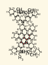 CC1(C)C2=C(C=CCC2)c2ccc(N(c3ccc4c(c3)C(C)(C)c3ccccc3-4)c3ccc4c(-c5ccccc5-c5ccccc5)c5cc(N(c6ccc7c(c6)C(C)(C)c6ccccc6-7)c6ccc7c(c6)C(C)(C)c6ccccc6-7)ccc5c(-c5ccccc5-c5ccccc5)c4c3)cc21